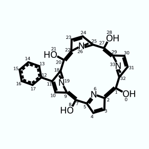 OC1=C2C=CC(=N2)C(O)=C2C=C(c3ccccc3)C(=N2)C(O)=C2C=CC(=N2)C(O)=C2C=CC1=N2